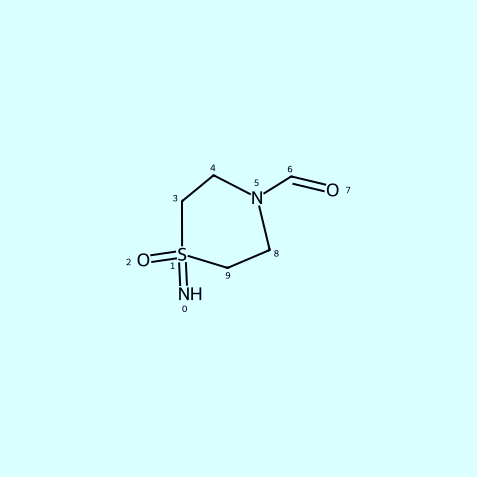 N=S1(=O)CCN(C=O)CC1